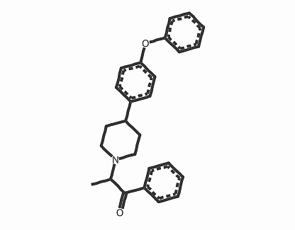 CC(C(=O)c1ccccc1)N1CCC(c2ccc(Oc3ccccc3)cc2)CC1